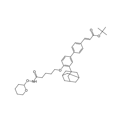 CC(C)(C)OC(=O)C=Cc1ccc(-c2ccc(OCCCCC(=O)NOC3CCCCO3)c(C34CC5CC(CC(C5)C3)C4)c2)cc1